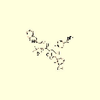 CCCOc1ccc(C[C@H](NC(=O)c2cccc(O)c2C)[C@H](O)C(=O)N2CSC(C)(C)C2C(=O)NCc2ccccc2C)cc1